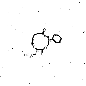 O=C(O)C[C@@H]1CC=CCCC(=O)N[C@@H](c2ccccc2)COC1=O